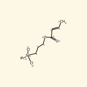 CC=CC(=O)OCCC[Si](Cl)(Cl)C(C)C